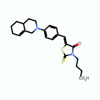 O=C(O)CCCN1C(=O)C(=Cc2ccc(N3CCC4CCCC=C4C3)cc2)SC1=S